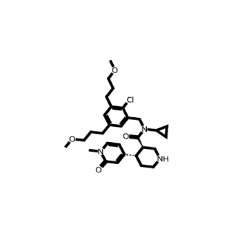 COCCCc1cc(CCCOC)c(Cl)c(CN(C(=O)[C@H]2CNCC[C@@H]2c2ccn(C)c(=O)c2)C2CC2)c1